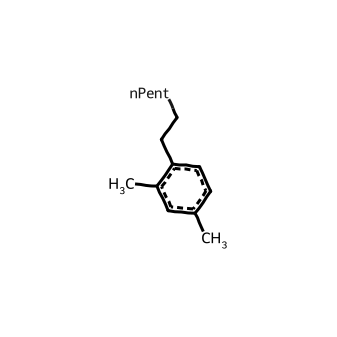 [CH2]CCCCCCc1ccc(C)cc1C